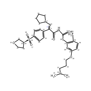 C=C(NC(=O)/C(=N/N1CCCC1)c1ccc(S(=O)(=O)[C@H]2CCOC2)cc1)Sc1nc(OCCCN(C)C)ccc1C